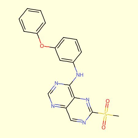 CS(=O)(=O)c1ncc2ncnc(Nc3cccc(Oc4ccccc4)c3)c2n1